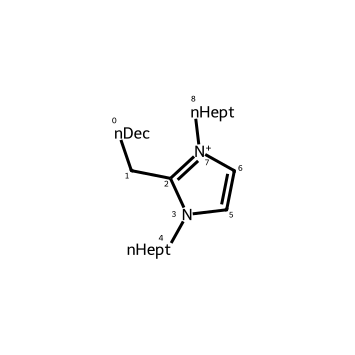 CCCCCCCCCCCc1n(CCCCCCC)cc[n+]1CCCCCCC